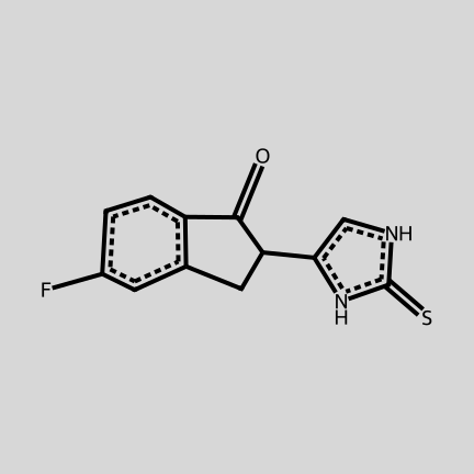 O=C1c2ccc(F)cc2CC1c1c[nH]c(=S)[nH]1